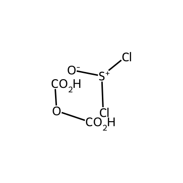 O=C(O)OC(=O)O.[O-][S+](Cl)Cl